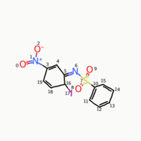 O=[N+]([O-])C1=CC(=NS(=O)(=O)c2ccccc2)C(I)C=C1